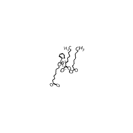 CCCCCCCC(=O)[O-].CCCCCCCC(=O)[O-].CCCCCCCC(=O)[O-].[Sn+3][c]1ccccc1